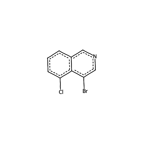 Clc1cccc2cncc(Br)c12